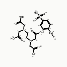 O=C(O)CN(CCN(CC(=O)O)CC(=O)O)CC(=O)O.O=S(=O)(O)c1cc[c]([Hg][Cl])cc1